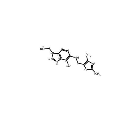 Cc1nc(C)c(CNc2ccc3c(nnn3CC(C)(C)C)c2Br)s1